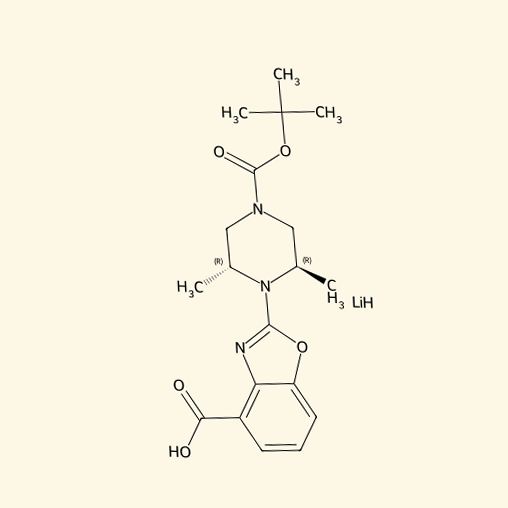 C[C@@H]1CN(C(=O)OC(C)(C)C)C[C@@H](C)N1c1nc2c(C(=O)O)cccc2o1.[LiH]